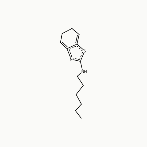 CCCCCCNc1nc2c(s1)=CCCC=2